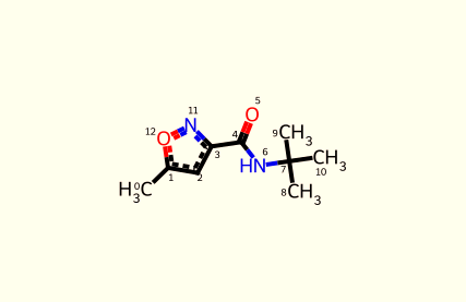 Cc1cc(C(=O)NC(C)(C)C)no1